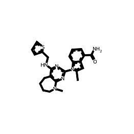 Cc1cc2c(C(N)=O)cccc2n1-c1nc(NCc2cccs2)c2c(n1)N(C)CCCC2